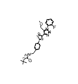 COCc1c(-c2nc(-c3ccc(CNC(=O)OC(C)(C)C)cc3)no2)nnn1-c1ccccc1F